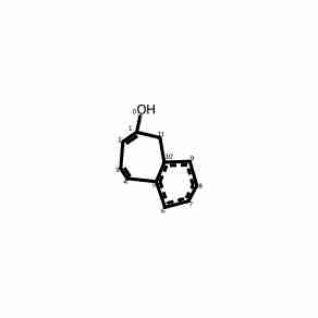 OC1=CC=Cc2ccccc2C1